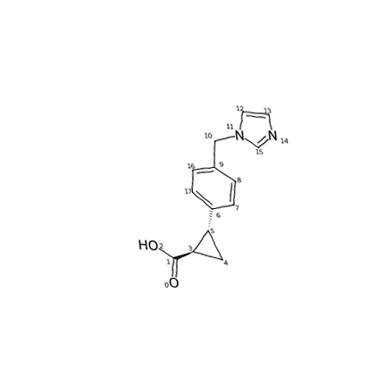 O=C(O)[C@@H]1C[C@H]1c1ccc(Cn2ccnc2)cc1